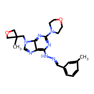 Cc1cccc(C=NNc2nc(N3CCOCC3)nc3c2ncn3CC2(C)COC2)c1